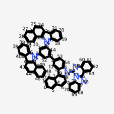 c1ccc2c(c1)ccc1c2c2cc(-c3cc(-n4c5ccccc5c5ccc6ccccc6c54)cc(-n4c5ccccc5c5ccc6ccccc6c54)c3)ccc2n1-c1nc2ccccc2c2nc3ccccc3n12